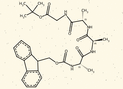 C[C@H](NC(=O)OCC1c2ccccc2-c2ccccc21)C(=O)N[C@H](C)C(=O)N[C@@H](C)C(=O)NCC(=O)OC(C)(C)C